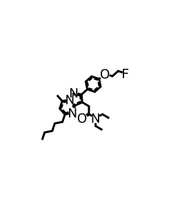 CCCCCc1cc(C)n2nc(-c3ccc(OCCF)cc3)c(CC(=O)N(CC)CC)c2n1